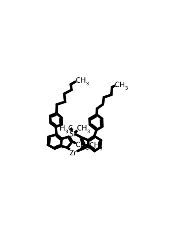 CCCCCCc1ccc(-c2cccc3c2C2=C(C)[CH]3[Zr][CH]3C(C)=C(c4c(-c5ccc(CCCCCC)cc5)cccc43)[Si]2(C)C)cc1